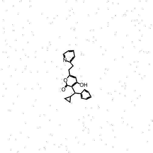 O=c1oc(CCc2ccccn2)cc(O)c1C(c1ccccc1)C1CC1